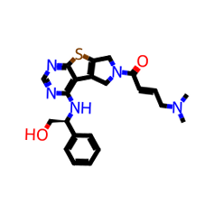 CN(C)C/C=C/C(=O)N1Cc2sc3ncnc(N[C@H](CO)c4ccccc4)c3c2C1